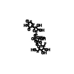 COP(=O)(OCC1OC(n2ccc(=O)[nH]c2=O)C(O)C1O)OP(=O)(CO)OC1OC(CO)C(O)C(O)C1C